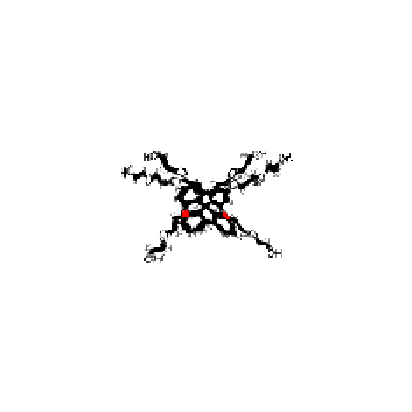 OCCOCCOc1cc(OCCOCCO)c(C2(c3c(OCCOCCO)cc(OCCOCCO)cc3OCCOCCO)c3ccccc3-c3ccccc32)c(OCCOCCO)c1